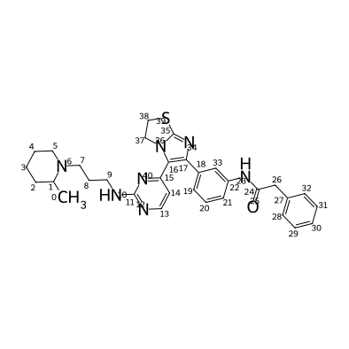 CC1CCCCN1CCCNc1nccc(-c2c(-c3cccc(NC(=O)Cc4ccccc4)c3)nc3n2CCS3)n1